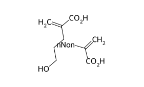 C=C(CCCCCCCCC)C(=O)O.C=C(CCCO)C(=O)O